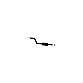 CCCCC#CS